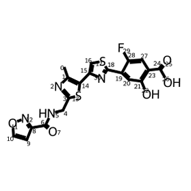 Cc1nc(CNC(=O)c2ccon2)sc1-c1csc(-c2cc(O)c(C(=O)O)cc2F)n1